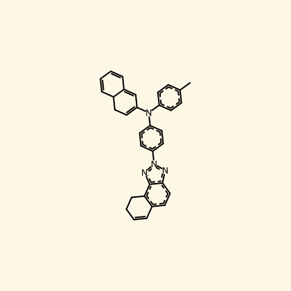 Cc1ccc(N(C2=CCC3C=CC=CC3=C2)c2ccc(-n3nc4ccc5c(c4n3)CCC=C5)cc2)cc1